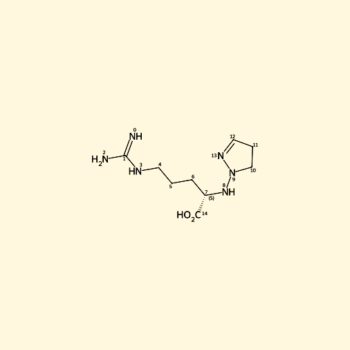 N=C(N)NCCC[C@H](NN1CCC=N1)C(=O)O